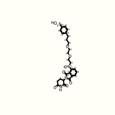 O=C1CCC(N2C(=O)c3cccc([S+]([O-])CCOCCOCCCc4ccc(S(=O)(=O)O)cc4)c3C2=O)C(=O)N1